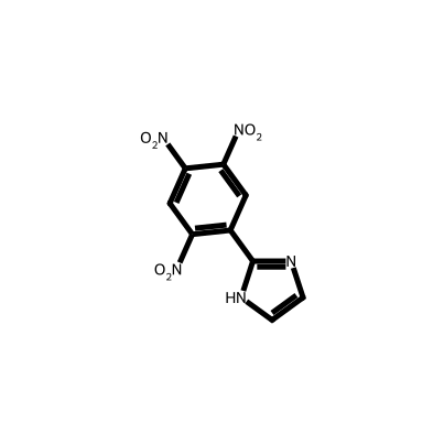 O=[N+]([O-])c1cc([N+](=O)[O-])c([N+](=O)[O-])cc1-c1ncc[nH]1